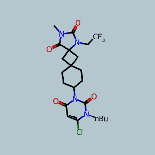 CCCCn1c(Cl)cc(=O)n(C2CCC3(CC2)CC2(C3)C(=O)N(C)C(=O)N2CC(F)(F)F)c1=O